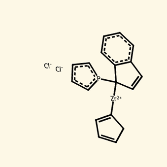 C1=CC[C]([Zr+2][C]2(p3cccc3)C=Cc3ccccc32)=C1.[Cl-].[Cl-]